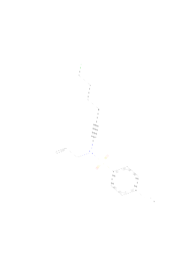 C=CCN(C#CCCCCCl)S(=O)(=O)c1ccc(C#N)cc1